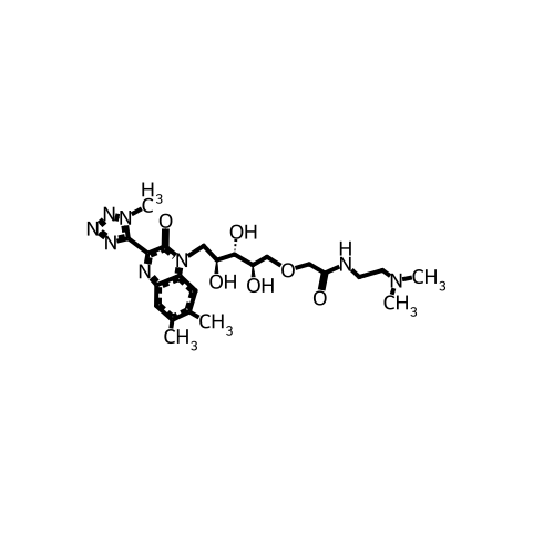 Cc1cc2nc(-c3nnnn3C)c(=O)n(C[C@H](O)[C@H](O)[C@H](O)COCC(=O)NCCN(C)C)c2cc1C